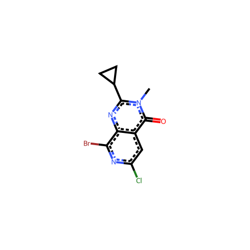 Cn1c(C2CC2)nc2c(Br)nc(Cl)cc2c1=O